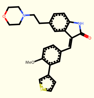 COc1ccc(/C=C2/C(=O)Nc3ccc(CCN4CCOCC4)cc32)cc1-c1ccsc1